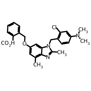 Cc1cc(OCc2ccccc2C(=O)O)cc2c1nc(C)n2Cc1ccc(N(C)C)cc1Cl